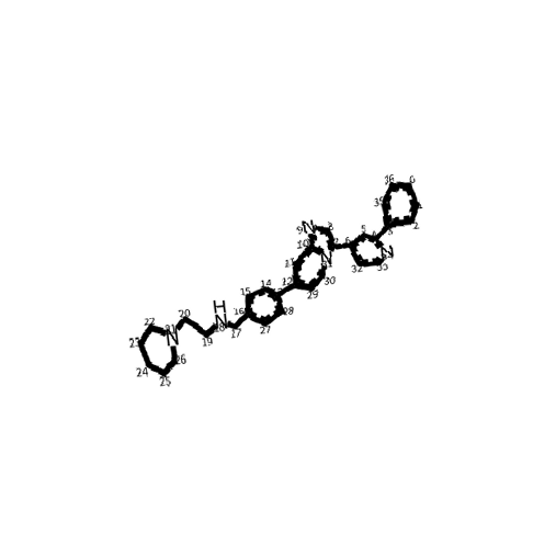 c1ccc(-c2cc(-c3cnc4cc(-c5ccc(CNCCN6CCCCC6)cc5)ccn34)ccn2)cc1